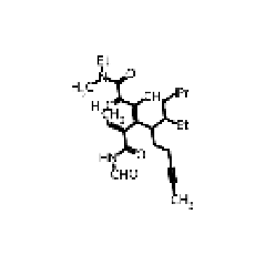 C=C(C(=O)N(C)CC)/C(C)=C(\C(=C/C)C(=O)NC=O)C(CCC#CC)C(CC)CC(C)C